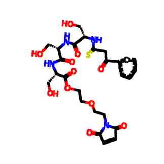 O=C(CC(=S)N[C@@H](CO)C(=O)N[C@@H](CO)C(=O)N[C@@H](CO)C(=O)OCCOCCN1C(=O)C=CC1=O)c1ccccc1